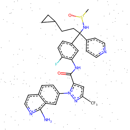 C[S+]([O-])NC(CCC1CC1)(c1ccncc1)c1ccc(F)c(NC(=O)c2cc(C(F)(F)F)nn2-c2ccc3ccnc(N)c3c2)c1